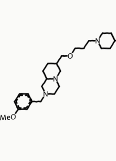 COc1cccc(CN2CCN3CC(COCCCN4CCCCC4)CCC3C2)c1